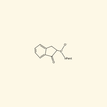 CCCCC[S+]([O-])C1Cc2ccccc2C1=O